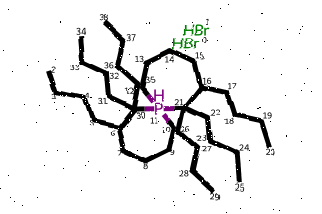 Br.Br.CCCCC1CCCC[PH]2(CCCCC(CCCC)C2(CCCC)CCCC)C1(CCCC)CCCC